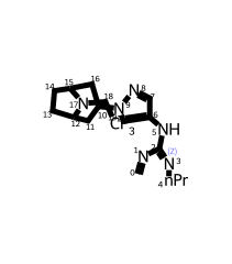 C=N/C(=N\CCC)Nc1cnn(C2CC3CCC(C2)N3CC(F)(F)F)c1